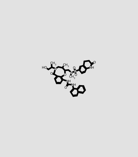 CC1CN(C(C)CO)C(=O)c2cccc(NC(=O)Nc3cccc4ccccc34)c2OC1CN(C)S(=O)(=O)c1ccc2c(c1)CCC(=O)N2